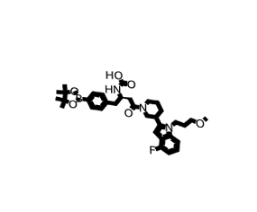 COCCCn1c(C2CCCN(C(=O)C[C@@H](Cc3ccc(B4OC(C)(C)C(C)(C)O4)cc3)NC(=O)O)C2)cc2c(F)cccc21